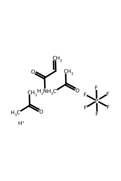 C=CC(N)=O.CC(C)=O.CC(C)=O.F[P-](F)(F)(F)(F)F.[H+]